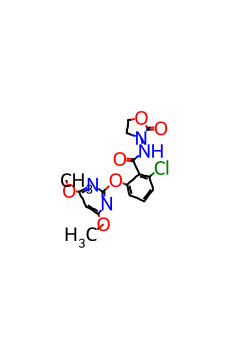 COc1cc(OC)nc(Oc2cccc(Cl)c2C(=O)NN2CCOC2=O)n1